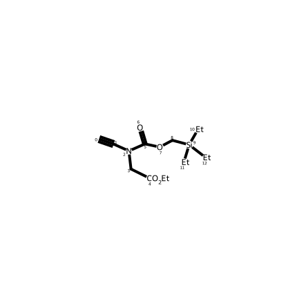 C#CN(CC(=O)OCC)C(=O)OC[Si](CC)(CC)CC